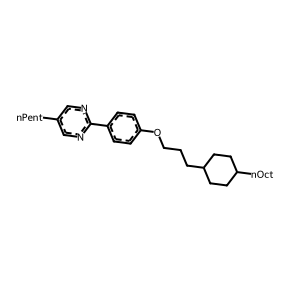 CCCCCCCCC1CCC(CCCOc2ccc(-c3ncc(CCCCC)cn3)cc2)CC1